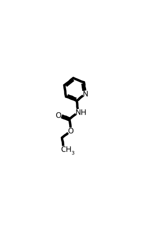 CCOC(=O)Nc1ccccn1